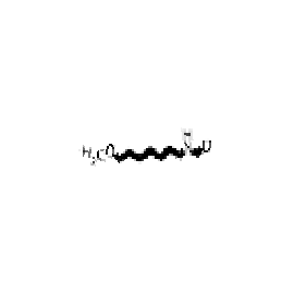 [CH2]OCCCCCCCN[C]=O